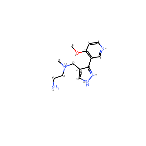 COc1ccncc1-c1n[nH]cc1CN(C)CCN